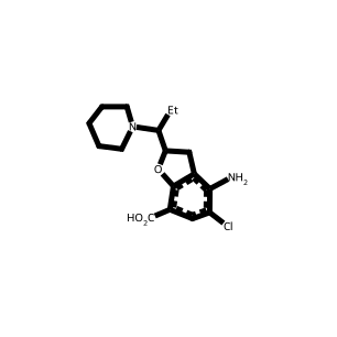 CCC(C1Cc2c(N)c(Cl)cc(C(=O)O)c2O1)N1CCCCC1